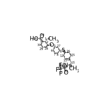 CCc1c(Oc2cccc(Sc3ccc(CC(C)NC(=O)C(F)(F)F)cc3)c2)cccc1C(=O)O